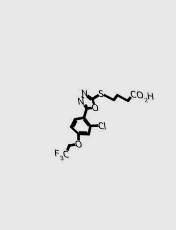 O=C(O)CCCSc1nnc(-c2ccc(OCC(F)(F)F)cc2Cl)o1